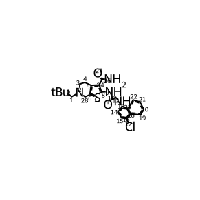 CC(C)(C)CN1CCc2c(sc(NC(=O)Nc3ccc(Cl)c4ccccc34)c2C(N)=O)C1